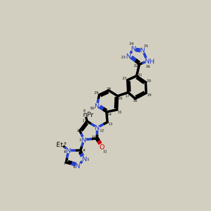 CCCc1cn(-c2nncn2CC)c(=O)n1Cc1cc(-c2cccc(-c3nnn[nH]3)c2)ccn1